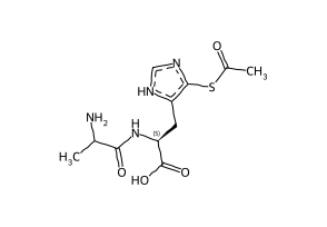 CC(=O)Sc1nc[nH]c1C[C@H](NC(=O)C(C)N)C(=O)O